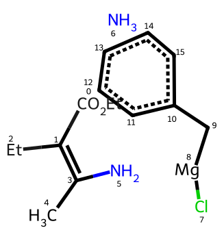 CCOC(=O)C(CC)=C(C)N.N.[Cl][Mg][CH2]c1ccccc1